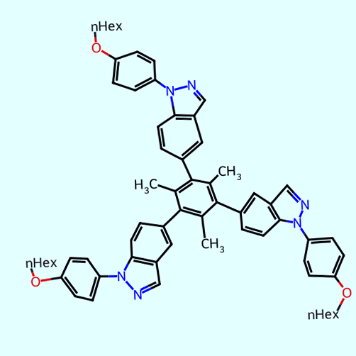 CCCCCCOc1ccc(-n2ncc3cc(-c4c(C)c(-c5ccc6c(cnn6-c6ccc(OCCCCCC)cc6)c5)c(C)c(-c5ccc6c(cnn6-c6ccc(OCCCCCC)cc6)c5)c4C)ccc32)cc1